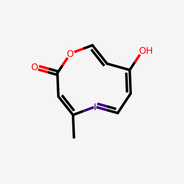 CC1=C/C(=O)O/C=C/C(O)=C\C=I\1